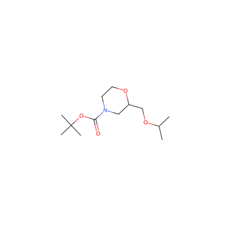 CC(C)OCC1CN(C(=O)OC(C)(C)C)CCO1